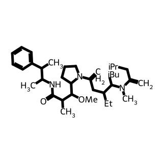 C=C(CC(C)C)N(C)C(C(C)CC)C(CC)CC(=C)N1CCCC1C(OC)C(C)C(=O)NC(C)C(C)c1ccccc1